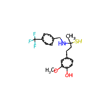 COc1cc(CCC(C)(S)NCc2ccc(C(F)(F)F)cc2)ccc1O